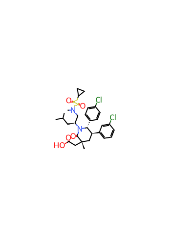 CC(C)C[C@@H](CN(C)S(=O)(=O)C1CC1)N1C(=O)[C@@](C)(CC(=O)O)C[C@H](c2cccc(Cl)c2)[C@H]1c1ccc(Cl)cc1